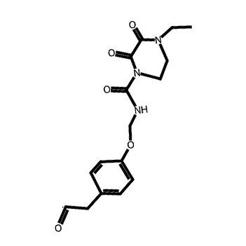 CCN1CCN(C(=O)NCOc2ccc(C[C]=O)cc2)C(=O)C1=O